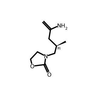 C=C(N)C[C@@H](C)CN1CCOC1=O